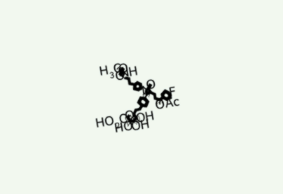 CC(=O)O[C@@H](CCC1C(=O)N(c2ccc(CCCNS(C)(=O)=O)cc2)[C@@H]1c1ccc(CCC2O[C@H](C(=O)O)[C@@H](O)[C@H](O)[C@H]2O)cc1)c1ccc(F)cc1